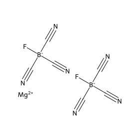 N#C[B-](F)(C#N)C#N.N#C[B-](F)(C#N)C#N.[Mg+2]